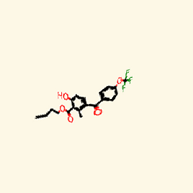 CCCCOC(=O)c1c(O)ccc(C(=O)c2ccc(OC(F)(F)F)cc2)c1C